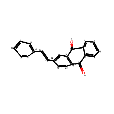 O=C1c2ccccc2C(=O)c2cc(C=Cc3ccccc3)ccc21